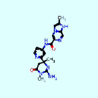 CC1=CN2C=C(C(=O)Nc3ccnc(C4(C)CC(=O)N(C)C(N)=N4)c3)N=CC2N1